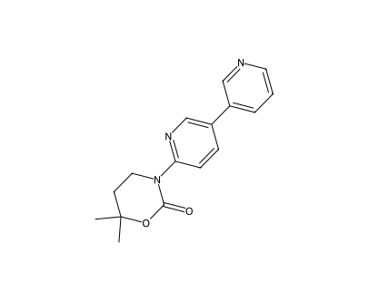 CC1(C)CCN(c2ccc(-c3cccnc3)cn2)C(=O)O1